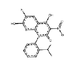 CC(C)c1ccccc1-n1c(=O)c([N+](=O)[O-])c(O)c2cc(F)c(O)nc21